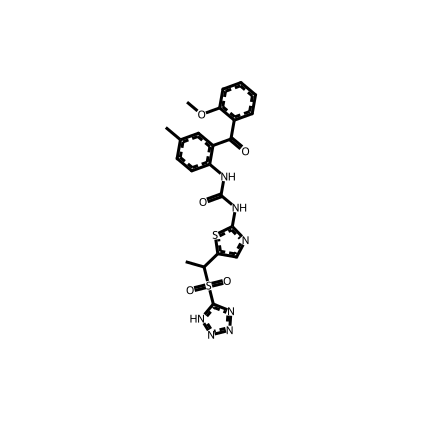 COc1ccccc1C(=O)c1cc(C)ccc1NC(=O)Nc1ncc(C(C)S(=O)(=O)c2nnn[nH]2)s1